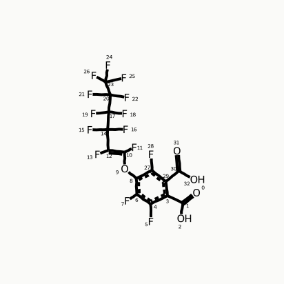 O=C(O)c1c(F)c(F)c(OC(F)=C(F)C(F)(F)C(F)(F)C(F)(F)C(F)(F)F)c(F)c1C(=O)O